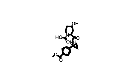 COC(=O)c1ccc(C2(NC(=O)C3CC(O)CCN3C(=O)O)CC2)cc1